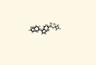 FC1(CNc2ncc3c(-c4ccc5nccn5n4)ccn3n2)CCC1